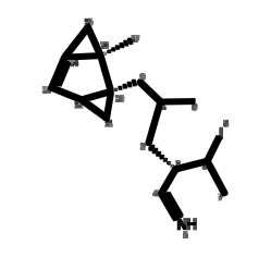 CC(C[C@@H](C=N)C(C)I)C[C@]12CC1C=C1C[C@]12C